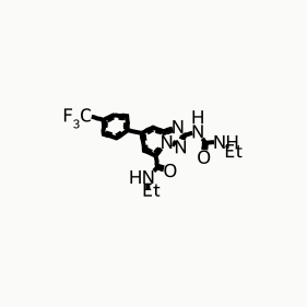 CCNC(=O)Nc1nc2cc(-c3ccc(C(F)(F)F)cc3)cc(C(=O)NCC)n2n1